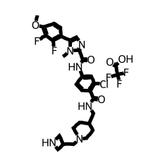 COc1ccc(-c2cnc(C(=O)Nc3ccc(C(=O)NCC4CCN(CC5CNC5)CC4)c(Cl)c3)n2C)c(F)c1F.O=C(O)C(F)(F)F